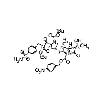 C[C@@H](O)[C@H]1C(=O)N2C(C(=O)OCc3ccc([N+](=O)[O-])cc3)=C(S[C@H]3C[C@@H](C(=O)N(Cc4ccc(S(N)(=O)=O)cc4)C(=O)OC(C)(C)C)N(C(=O)OC(C)(C)C)C3)[C@H](C)[C@H]12